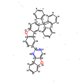 c1ccc([Si](c2ccccc2)(c2ccccc2)c2ccc3oc4ccc(-c5ncc6oc7ccccc7c6n5)cc4c3c2)cc1